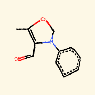 CC1=C(C=O)N(c2ccccc2)CO1